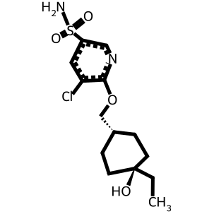 CC[C@]1(O)CC[C@H](COc2ncc(S(N)(=O)=O)cc2Cl)CC1